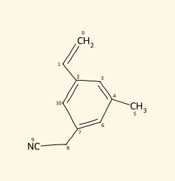 C=Cc1cc(C)cc(CC#N)c1